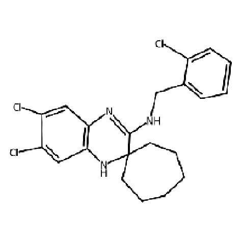 Clc1cc2c(cc1Cl)NC1(CCCCCC1)C(NCc1ccccc1Cl)=N2